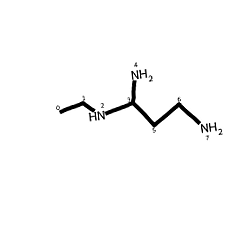 CCNC(N)CCN